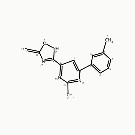 Cc1cccc(-c2cc(-c3nc(=O)o[nH]3)nc(C)n2)c1